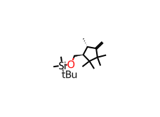 C=C1[C@@H](C)[C@H](CO[Si](C)(C)C(C)(C)C)C(C)(C)C1(C)C